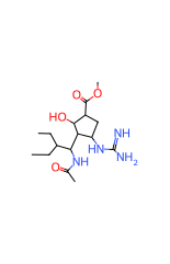 CCC(CC)C(NC(C)=O)C1C(NC(=N)N)CC(C(=O)OC)C1O